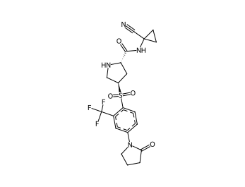 N#CC1(NC(=O)[C@@H]2C[C@@H](S(=O)(=O)c3ccc(N4CCCC4=O)cc3C(F)(F)F)CN2)CC1